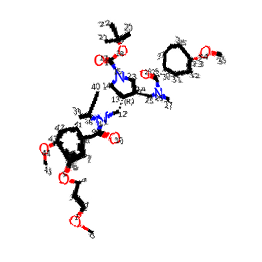 COCCCOc1cc(C(=O)N(C[C@@H]2CN(C(=O)OC(C)(C)C)C[C@H]2CN(C)C(=O)[C@H]2CC[C@H](OC)CC2)C(C)C)ccc1OC